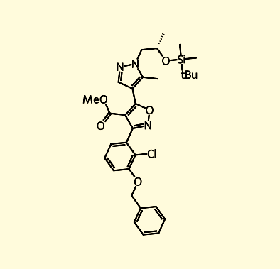 COC(=O)c1c(-c2cccc(OCc3ccccc3)c2Cl)noc1-c1cnn(C[C@H](C)O[Si](C)(C)C(C)(C)C)c1C